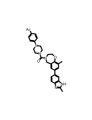 CC(=O)c1ccc(N2CCN(C(=O)N3CCOc4c(C)cc(-c5ccc6nc(C)[nH]c6c5)cc4C3)CC2)cc1